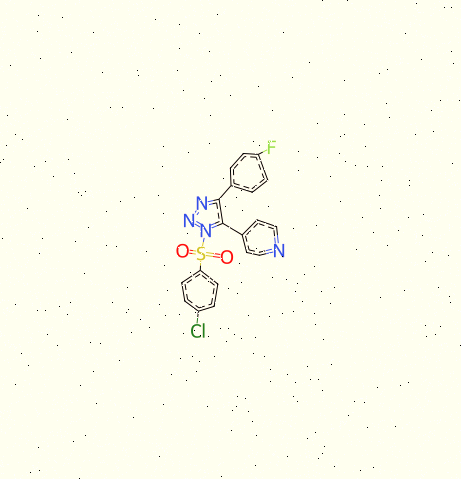 O=S(=O)(c1ccc(Cl)cc1)n1nnc(-c2ccc(F)cc2)c1-c1ccncc1